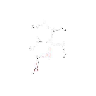 CCC(C)C(CC)(CC)O[C]=O